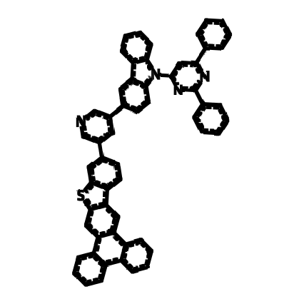 c1ccc(-c2cc(-n3c4ccccc4c4cc(-c5cncc(-c6ccc7c(c6)sc6cc8c9ccccc9c9ccccc9c8cc67)c5)ccc43)nc(-c3ccccc3)n2)cc1